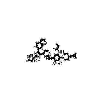 C=CC(=O)Nc1cc(Nc2nccc(-c3[nH]c(C4(O)C=CN=N4)nc3-c3ccc4ccoc4c3)n2)c(OC)cc1N1CCN(C2=CC2)CC1